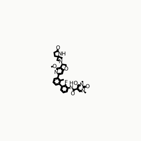 COc1nc(-c2cccc(-c3cccc(NC(=O)c4cn(C)c(=O)n(C)c4=O)c3F)c2C)cc2c1[C@@H](N1CC3(CCC(=O)N3)C1)CO2